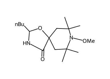 CCCCC1NC(=O)C2(CC(C)(C)N(OC)C(C)(C)C2)O1